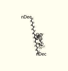 CCCCCCCCCCCCCCCCCCC(CCCCCCCCCCCCCCCCCC)OP(=O)([O-])OCC[N+](C)(C)C